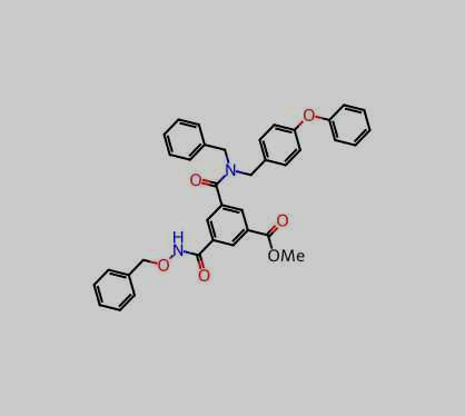 COC(=O)c1cc(C(=O)NOCc2ccccc2)cc(C(=O)N(Cc2ccccc2)Cc2ccc(Oc3ccccc3)cc2)c1